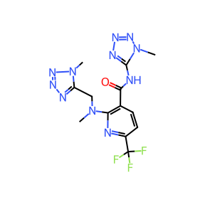 CN(Cc1nnnn1C)c1nc(C(F)(F)F)ccc1C(=O)Nc1nnnn1C